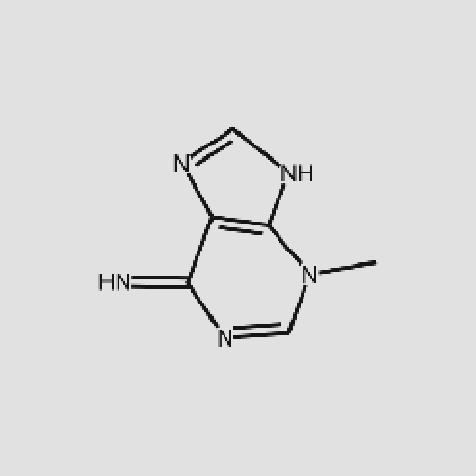 Cn1cnc(=N)c2nc[nH]c21